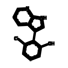 Oc1c[c]cc(Cl)c1-c1c[nH]c2ncccc12